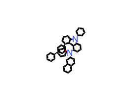 c1ccc(-c2cccc(N(c3ccc4ccccc4c3)c3cccc4c3c3c(-c5ccccc5)cccc3n4-c3ccccc3)c2)cc1